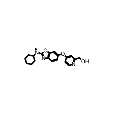 CN(c1nc2ccc(Oc3ccnc(CO)c3)cc2o1)C1CCCCC1